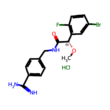 CO[C@H](C(=O)NCc1ccc(C(=N)N)cc1)c1cc(Br)ccc1F.Cl